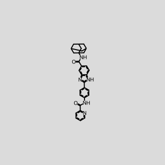 O=C(NC12CC3CC(CC(C3)C1)C2)c1ccc2[nH]c(-c3ccc(NC(=O)c4ccccn4)cc3)nc2c1